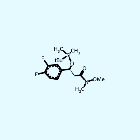 CON(C)C(=O)C[C@@H](O[Si](C)(C)C(C)(C)C)c1ccc(F)c(F)c1